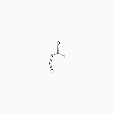 O=C=NC(=O)I